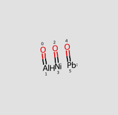 [O]=[AlH].[O]=[Ni].[O]=[Pb]